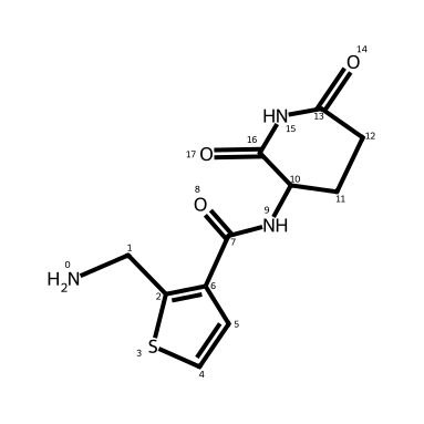 NCc1sccc1C(=O)NC1CCC(=O)NC1=O